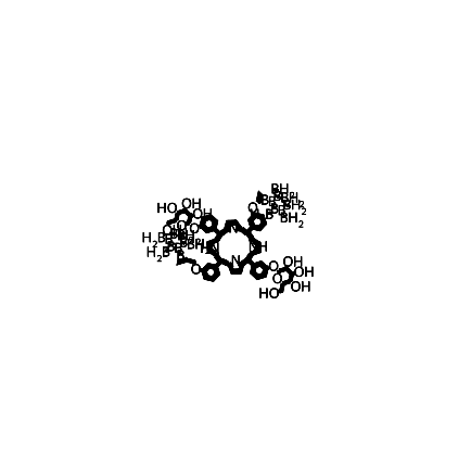 BB(B)B(B)B(B(B)B)B1CC1COc1cccc(-c2c3nc(c(-c4cccc(OC5OC(CO)C(O)C(O)C5O)c4)c4ccc([nH]4)c(-c4cccc(OC5CB5B(B(B)B)B(B)B(B)B)c4)c4nc(c(-c5cccc(OC6OC(CO)C(O)C(O)C6O)c5)c5ccc2[nH]5)C=C4)C=C3)c1